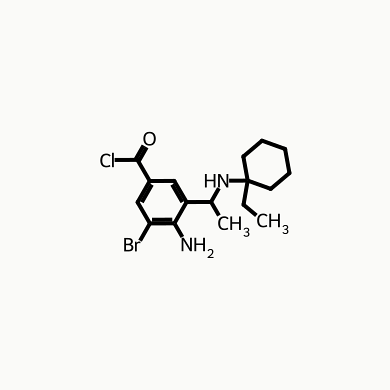 CCC1(NC(C)c2cc(C(=O)Cl)cc(Br)c2N)CCCCC1